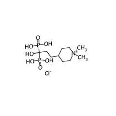 C[N+]1(C)CCC(CCC(O)(P(=O)(O)O)P(=O)(O)O)CC1.[Cl-]